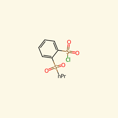 CCCS(=O)(=O)c1ccccc1S(=O)(=O)Cl